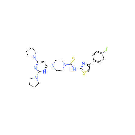 Fc1ccc(-c2csc(NC(=S)N3CCN(c4cc(N5CCCC5)nc(N5CCCC5)n4)CC3)n2)cc1